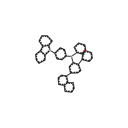 c1ccc(-c2ccc(-c3cccc4ccccc34)cc2N(c2ccccc2)c2ccc(-n3c4ccccc4c4ccccc43)cc2)cc1